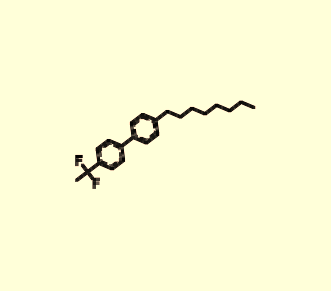 CCCCCCCCc1ccc(-c2ccc(C(C)(F)F)cc2)cc1